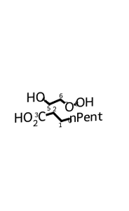 CCCCCCCC(=O)O.OCCOO